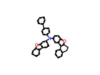 c1ccc(-c2ccc(N(c3ccc4c(c3)oc3ccccc34)c3ccc4oc5c(c4c3)-c3ccccc3CC5)cc2)cc1